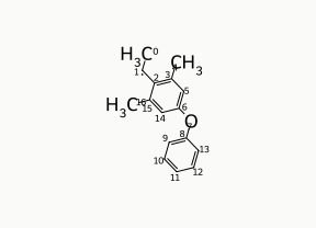 C[CH]c1c(C)cc(Oc2ccccc2)cc1C